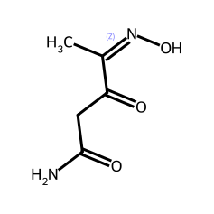 C/C(=N/O)C(=O)CC(N)=O